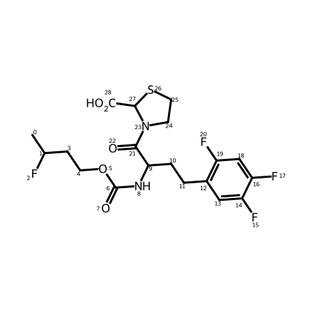 CC(F)CCOC(=O)NC(CCc1cc(F)c(F)cc1F)C(=O)N1CCSC1C(=O)O